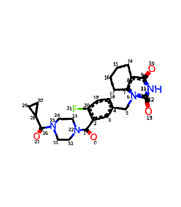 O=C(c1cc(Cn2c3c(c(=O)[nH]c2=O)CCCC3)ccc1F)N1CCN(C(=O)C2CC2)CC1